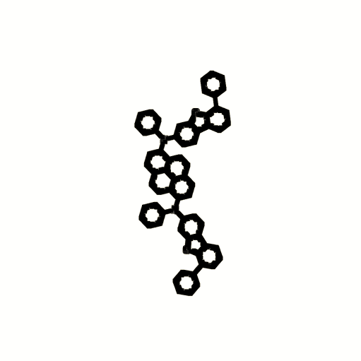 c1ccc(-c2cccc3c2oc2cc(N(c4ccccc4)c4ccc5ccc6c(N(c7ccccc7)c7ccc8c(c7)oc7c(-c9ccccc9)cccc78)ccc7ccc4c5c76)ccc23)cc1